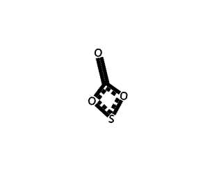 O=c1oso1